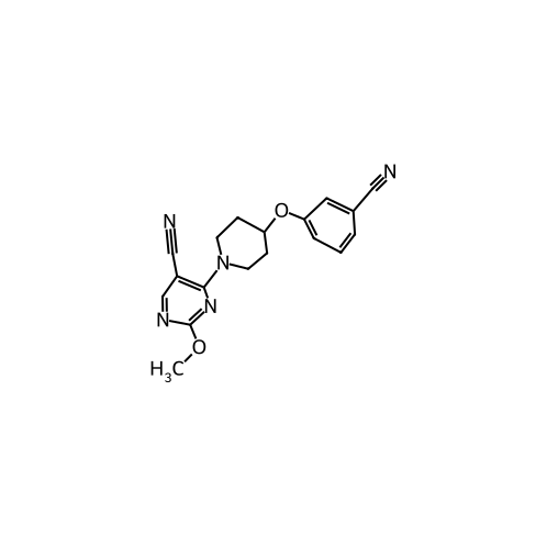 COc1ncc(C#N)c(N2CCC(Oc3cccc(C#N)c3)CC2)n1